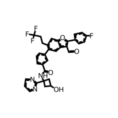 O=Cc1c(-c2ccc(F)cc2)oc2cc(CCC(F)(F)F)c(-c3cccc(C(=O)NC4(c5ncccn5)CC(O)C4)c3)cc12